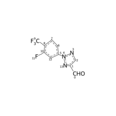 O=Cc1cnn(-c2ccc(C(F)(F)F)c(F)c2)n1